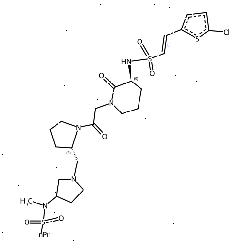 CCCS(=O)(=O)N(C)C1CCN(C[C@@H]2CCCN2C(=O)CN2CCC[C@H](NS(=O)(=O)/C=C/c3ccc(Cl)s3)C2=O)C1